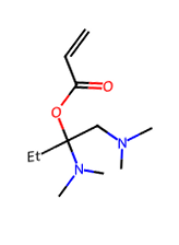 C=CC(=O)OC(CC)(CN(C)C)N(C)C